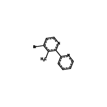 Cc1c(Br)ccnc1-c1ccccn1